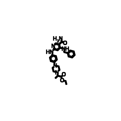 CCOC(=O)C(C)N1CCN(c2ccc(Nc3cc(NCc4ccccc4)c(C(N)=O)cn3)cc2)CC1